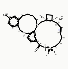 C[C@@]12CC[C@@H]1CN1CCCCc3cc(Cl)ccc3COc3ccc(cc31)C(=O)NS(=O)(=O)CCC/C=C/[C@H]2O